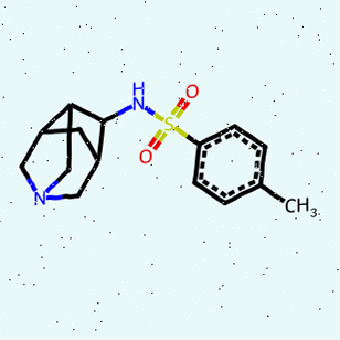 Cc1ccc(S(=O)(=O)NC2C3CC4CN(C3)CC42)cc1